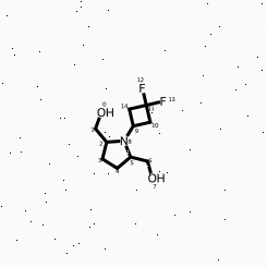 OCC1CCC(CO)N1C1CC(F)(F)C1